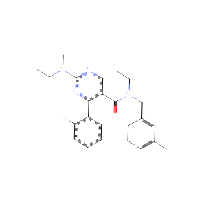 CCN(CC1=CC(C)=CCC1)C(=O)c1cnc(N(C)CC)nc1-c1ccccc1F